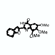 COc1cc2c(=O)[nH]c(-c3cc4ccccc4o3)nc2c(OC)c1OC